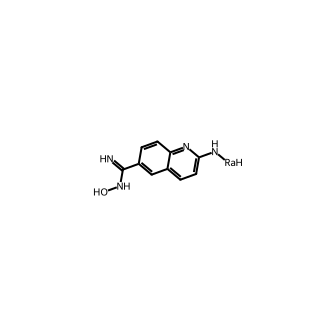 N=C(NO)c1ccc2nc([NH][RaH])ccc2c1